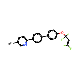 CCCc1ccc(-c2ccc(-c3ccc(OC(F)(F)C=C(F)F)cc3)cc2)nc1